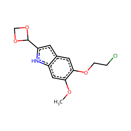 COc1cc2[nH]c(C3OCO3)cc2cc1OCCCl